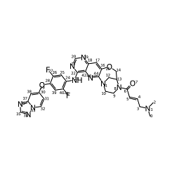 CN(C)C/C=C/C(=O)N1CCN2CC1COc1cc3ncnc(Nc4cc(F)c(Oc5ccn6ncnc6c5)cc4F)c3nc12